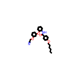 CCCCCCOc1ccc(C(=O)Nc2ccccc2Oc2cccc(OCC#N)c2)cc1